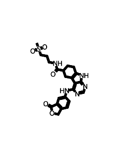 CS(=O)(=O)CCCNC(=O)C1CCc2[nH]c3ncnc(Nc4ccc5c(c4)C(=O)OC5)c3c2C1